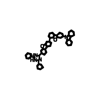 c1ccc(C2=NC(c3ccc4c(c3)oc3cc(-c5cccc6c5oc5cc(-n7c8ccccc8c8ccccc87)ccc56)ccc34)NC(c3ccccc3)N2)cc1